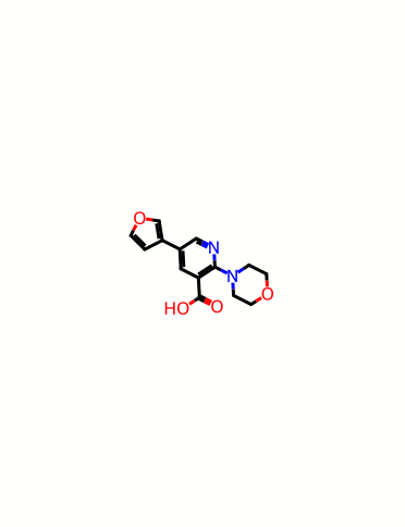 O=C(O)c1cc(-c2ccoc2)cnc1N1CCOCC1